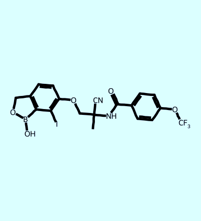 CC(C#N)(COc1ccc2c(c1I)B(O)OC2)NC(=O)c1ccc(OC(F)(F)F)cc1